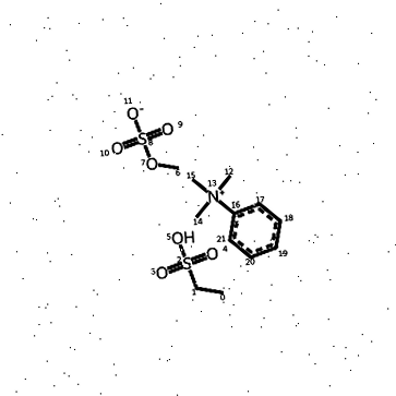 CCS(=O)(=O)O.COS(=O)(=O)[O-].C[N+](C)(C)c1ccccc1